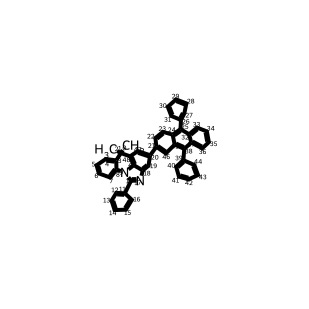 CC1(C)c2ccccc2-n2c(-c3ccccc3)nc3cc(-c4ccc5c(-c6ccccc6)c6ccccc6c(-c6ccccc6)c5c4)cc1c32